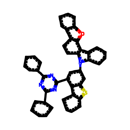 c1ccc(-c2nc(-c3ccccc3)nc(-c3cc(-n4c5ccccc5c5c6oc7ccccc7c6ccc54)cc4sc5ccccc5c34)n2)cc1